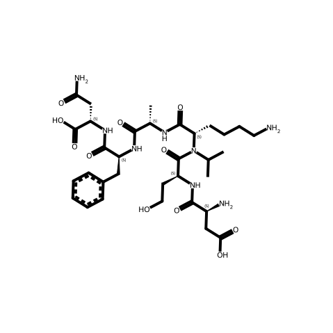 CC(C)N(C(=O)[C@H](CCO)NC(=O)[C@@H](N)CC(=O)O)[C@@H](CCCCN)C(=O)N[C@@H](C)C(=O)N[C@@H](Cc1ccccc1)C(=O)N[C@@H](CC(N)=O)C(=O)O